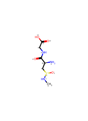 CN[S+]([O-])C[C@H](N)C(=O)NCC(=O)O